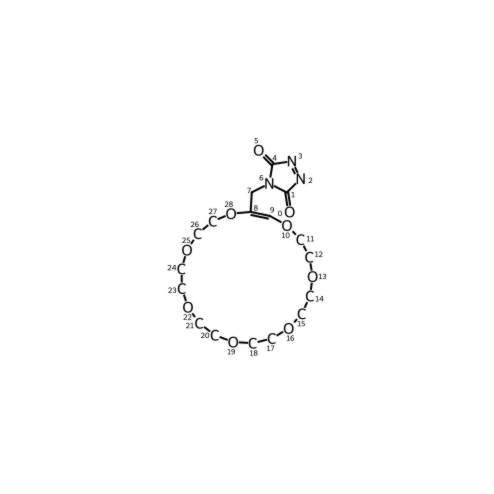 O=C1N=NC(=O)N1C/C1=C/OCCOCCOCCOCCOCCOCCO1